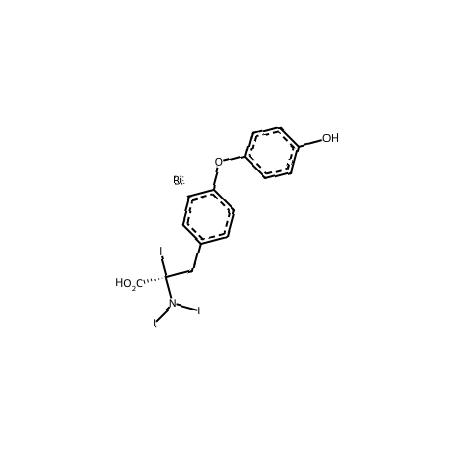 O=C(O)[C@](I)(Cc1ccc(Oc2ccc(O)cc2)cc1)N(I)I.[Bi]